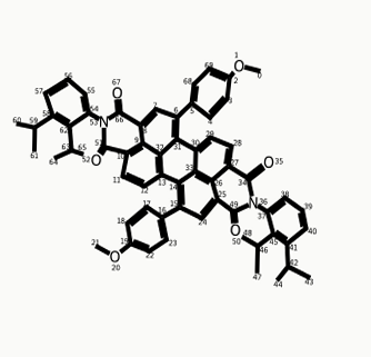 COc1ccc(-c2cc3c4c(ccc5c6c(-c7ccc(OC)cc7)cc7c8c(ccc(c2c45)c86)C(=O)N(c2cccc(C(C)C)c2C(C)C)C7=O)C(=O)N(c2cccc(C(C)C)c2C(C)C)C3=O)cc1